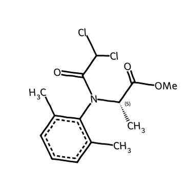 COC(=O)[C@H](C)N(C(=O)C(Cl)Cl)c1c(C)cccc1C